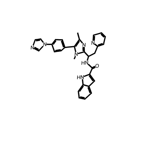 Cc1nc(C(Cc2ccccn2)NC(=O)c2cc3ccccc3[nH]2)n(C)c1-c1ccc(-n2ccnc2)cc1